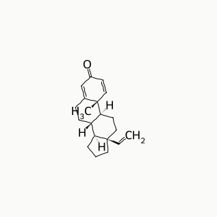 C=C[C@@]12CCC[C@H]1[C@@H]1CCC3=CC(=O)C=C[C@]3(C)[C@H]1CC2